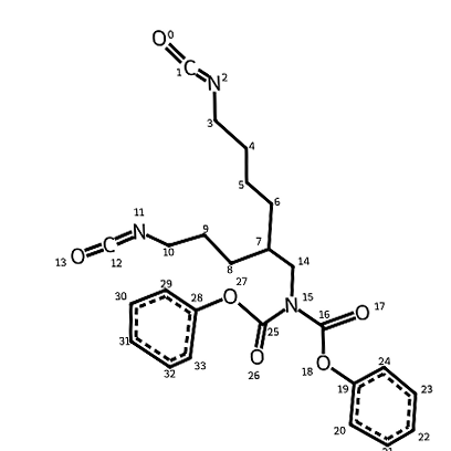 O=C=NCCCCC(CCCN=C=O)CN(C(=O)Oc1ccccc1)C(=O)Oc1ccccc1